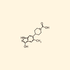 Cc1cc2c(O)n[nH]c2cc1C1CCN(C(=O)O)CC1